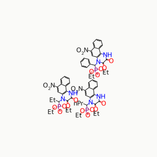 CCCC(n1c(=O)c(=O)[nH]c2c3ccccc3c([N+](=O)[O-])cc21)P(=O)(OCC)OCC.CCOP(=O)(OCC)C(CC)n1c(=O)c(=O)[nH]c2c3ccccc3c([N+](=O)[O-])cc21.CCOP(=O)(OCC)C(c1ccccc1)n1c(=O)c(=O)[nH]c2c3ccccc3c([N+](=O)[O-])cc21